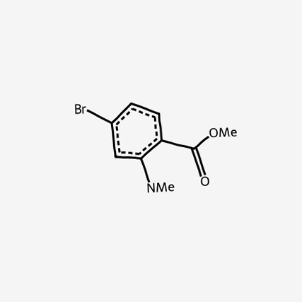 CNc1cc(Br)ccc1C(=O)OC